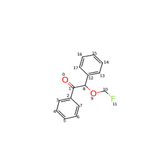 O=C(c1ccccc1)C(OCF)c1ccccc1